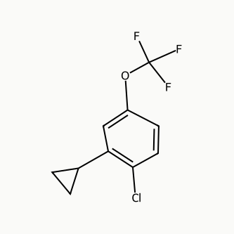 FC(F)(F)Oc1ccc(Cl)c(C2CC2)c1